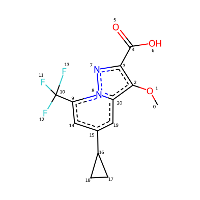 COc1c(C(=O)O)nn2c(C(F)(F)F)cc(C3CC3)cc12